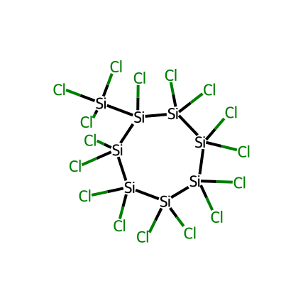 Cl[Si](Cl)(Cl)[Si]1(Cl)[Si](Cl)(Cl)[Si](Cl)(Cl)[Si](Cl)(Cl)[Si](Cl)(Cl)[Si](Cl)(Cl)[Si]1(Cl)Cl